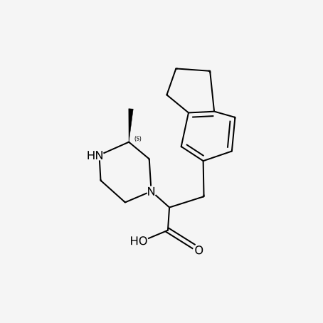 C[C@H]1CN(C(Cc2ccc3c(c2)CCC3)C(=O)O)CCN1